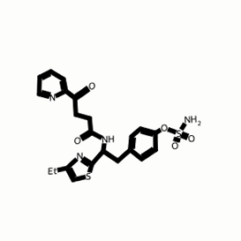 CCc1csc(C(Cc2ccc(OS(N)(=O)=O)cc2)NC(=O)CCC(=O)c2ccccn2)n1